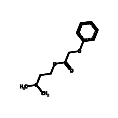 CN(C)CCOC(=O)COc1ccccc1